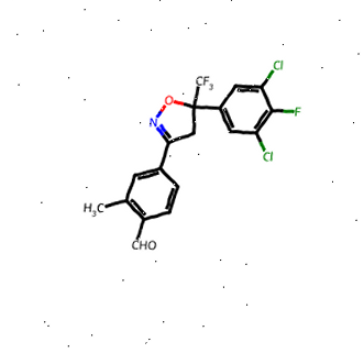 Cc1cc(C2=NOC(c3cc(Cl)c(F)c(Cl)c3)(C(F)(F)F)C2)ccc1C=O